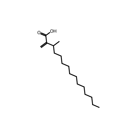 C=C(C(=O)O)C(C)CCCCCCCCCCCC